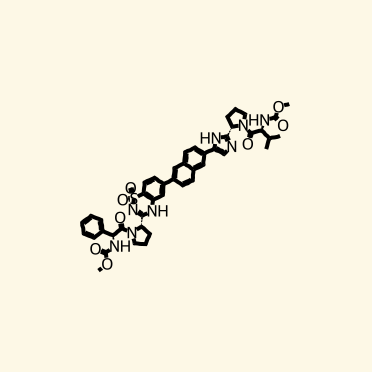 COC(=O)N[C@H](C(=O)N1CCC[C@H]1c1ncc(-c2ccc3cc(-c4ccc5c(c4)NC([C@@H]4CCCN4C(=O)[C@H](NC(=O)OC)c4ccccc4)=NS5(=O)=O)ccc3c2)[nH]1)C(C)C